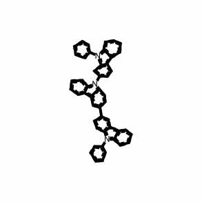 c1ccc(-n2c3ccccc3c3cc(-c4ccc5c(c4)c4ccccc4n5-c4ccc5c6ccccc6n(-c6ccccc6)c5c4)ccc32)cc1